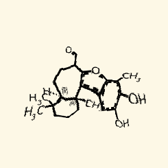 Cc1c(O)c(O)cc2c3c(oc12)C(C=O)CC[C@@H]1C(C)(C)CCC[C@@]31C